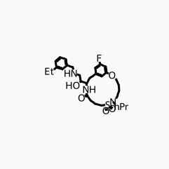 CCCN1CCCCOc2cc(F)cc(c2)CC(C(O)CNCc2cccc(CC)c2)NC(=O)CCCS1(=O)=O